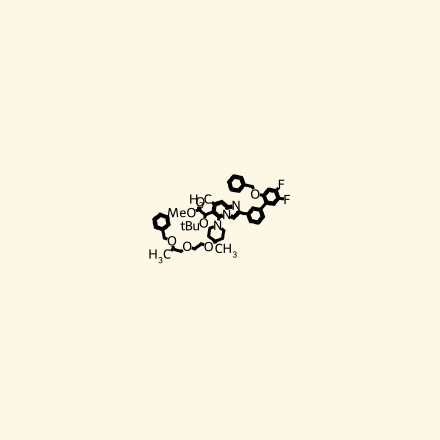 COC(=O)C(OC(C)(C)C)c1c(C)cc2nc(-c3cccc(-c4cc(F)c(F)cc4OCc4ccccc4)c3)cn2c1N1CCC(C)(OCCOCC(C)OCc2ccccc2)CC1